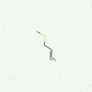 [C]SCC=C